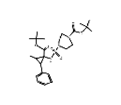 CC1C(c2ccccc2)C1(NS(=O)(=O)N1CCN(C(=O)OC(C)(C)C)CC1)C(=O)OC(C)(C)C